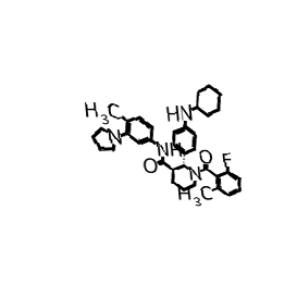 Cc1ccc(NC(=O)C2CCCN(C(=O)c3c(C)cccc3F)[C@H]2c2ccc(NC3CCCCC3)cc2)cc1N1CCCC1